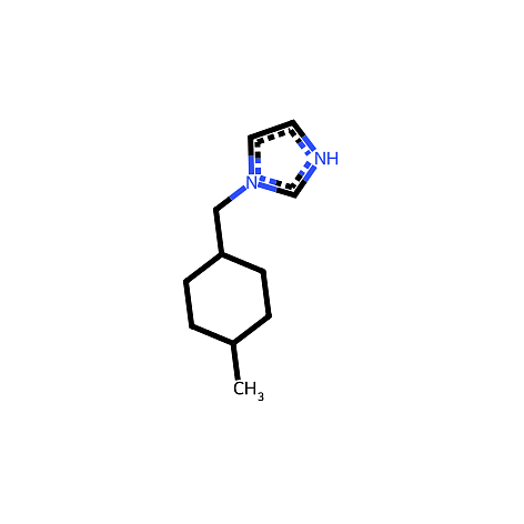 CC1CCC(C[n+]2cc[nH]c2)CC1